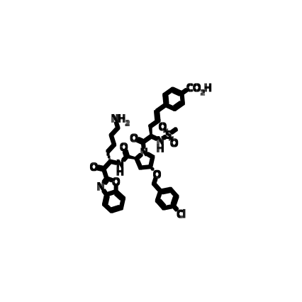 CS(=O)(=O)N[C@H](C/C=C/c1ccc(C(=O)O)cc1)C(=O)N1C[C@H](OCc2ccc(Cl)cc2)C[C@H]1C(=O)N[C@@H](CCCCN)C(=O)c1nc2ccccc2o1